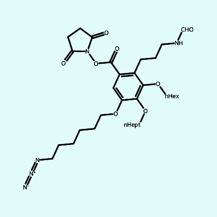 CCCCCCCOc1c(OCCCCCCN=[N+]=[N-])cc(C(=O)ON2C(=O)CCC2=O)c(CCCNC=O)c1OCCCCCC